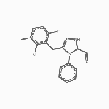 Cc1ccc(F)c(CC2=NNC(C=S)N2c2ccccc2)c1Cl